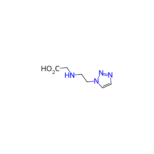 O=C(O)CNCCn1ccnn1